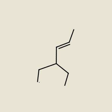 [CH2]CC(/C=C/C)CC